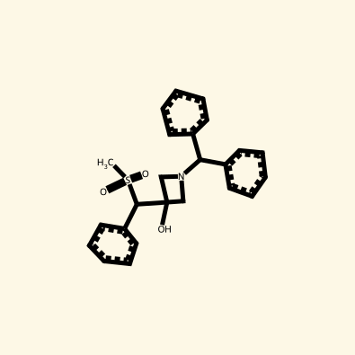 CS(=O)(=O)C(c1ccccc1)C1(O)CN(C(c2ccccc2)c2ccccc2)C1